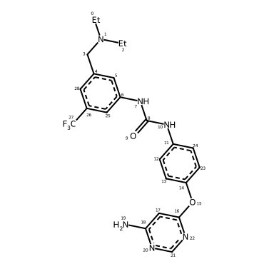 CCN(CC)Cc1cc(NC(=O)Nc2ccc(Oc3cc(N)ncn3)cc2)cc(C(F)(F)F)c1